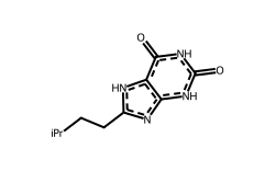 CC(C)CCc1nc2[nH]c(=O)[nH]c(=O)c2[nH]1